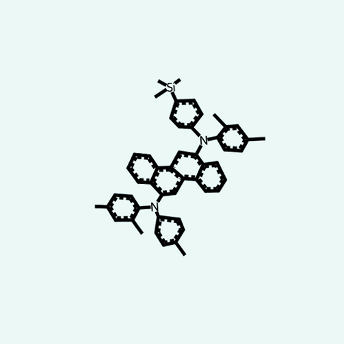 Cc1ccc(N(c2ccc(C)cc2C)c2cc3c4ccccc4c(N(c4ccc([Si](C)(C)C)cc4)c4ccc(C)cc4C)cc3c3ccccc23)cc1